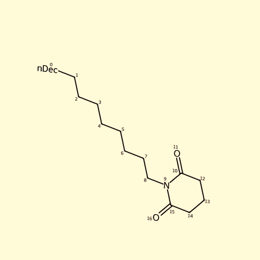 CCCCCCCCCCCCCCCCCCN1C(=O)CCCC1=O